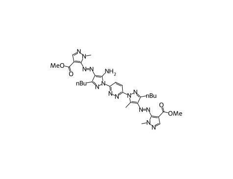 CCCCc1nn(-c2ccc(-n3nc(CCCC)c(/N=N/c4c(C(=O)OC)cnn4C)c3N)nn2)c(C)c1/N=N/c1c(C(=O)OC)cnn1C